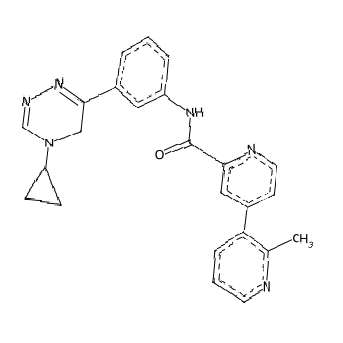 Cc1ncccc1-c1ccnc(C(=O)Nc2cccc(C3=NN=CN(C4CC4)C3)c2)c1